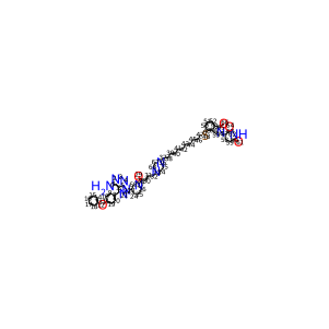 Nc1ncnc2c1c(-c1ccc(Oc3ccccc3)cc1)nn2[C@@H]1CCCN(C(=O)/C=C/CN2CCN(CCCCCCCCCCCSc3cccc4c3CN(C3CCC(=O)NC3=O)C4=O)CC2)C1